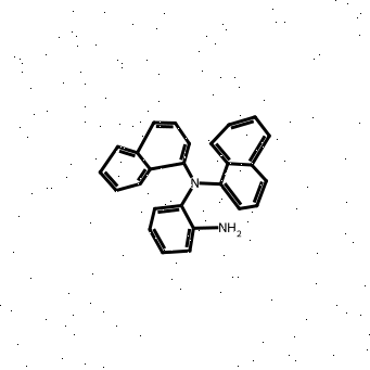 Nc1ccccc1N(c1cccc2ccccc12)c1cccc2ccccc12